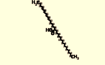 CCCCCCCCCCCCCCCCCC(CCCCCCCCCCCCCCCC)C(=O)O